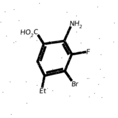 CCc1cc(C(=O)O)c(N)c(F)c1Br